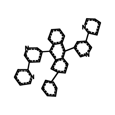 c1ccc(-c2ccc3c(-c4cncc(-c5ccccn5)c4)c4ccccc4c(-c4cncc(-c5ccccn5)c4)c3c2)cc1